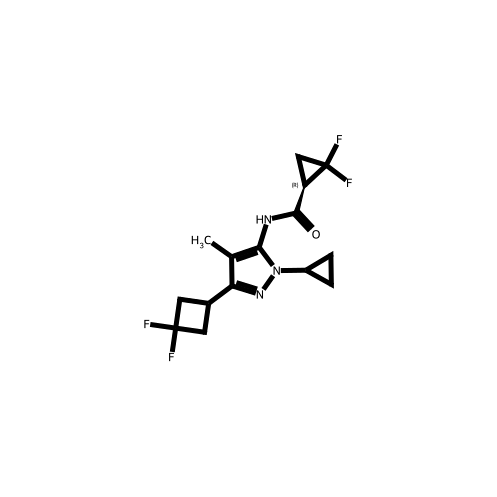 Cc1c(C2CC(F)(F)C2)nn(C2CC2)c1NC(=O)[C@H]1CC1(F)F